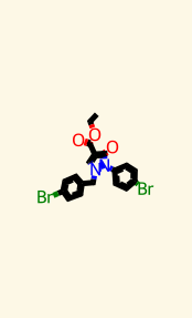 CCOC(=O)c1cn(Cc2ccc(Br)cc2)n(-c2ccc(Br)cc2)c1=O